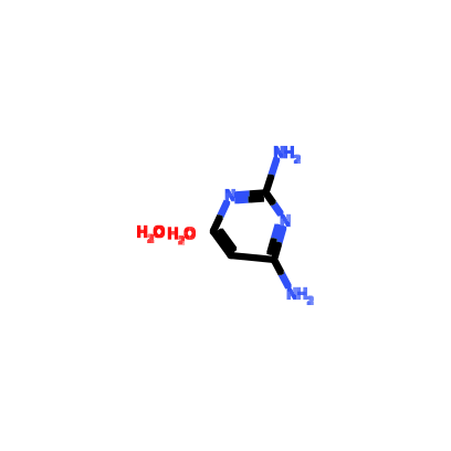 Nc1ccnc(N)n1.O.O